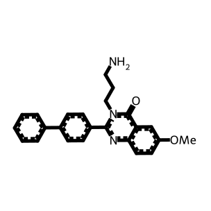 COc1ccc2nc(-c3ccc(-c4ccccc4)cc3)n(CCCN)c(=O)c2c1